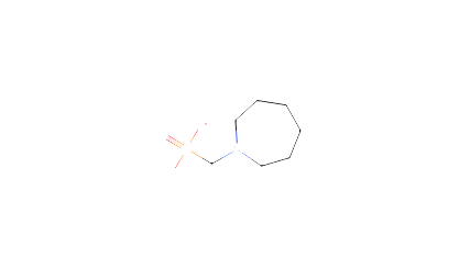 O=P(O)(O)CN1CCCCCC1